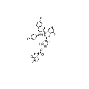 CN1CCC(NC(=O)OC[C@@H]2CO[C@H](CCc3c(F)cncc3NC(=O)[C@H](Cc3ccc(F)cc3)Nc3ccc(F)cc3)CN2)C1=O